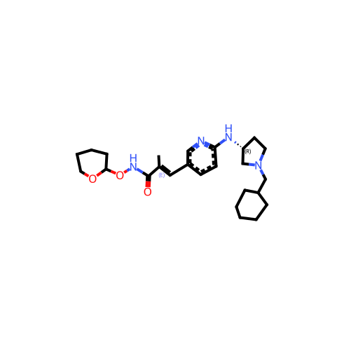 C/C(=C\c1ccc(N[C@@H]2CCN(CC3CCCCC3)C2)nc1)C(=O)NOC1CCCCO1